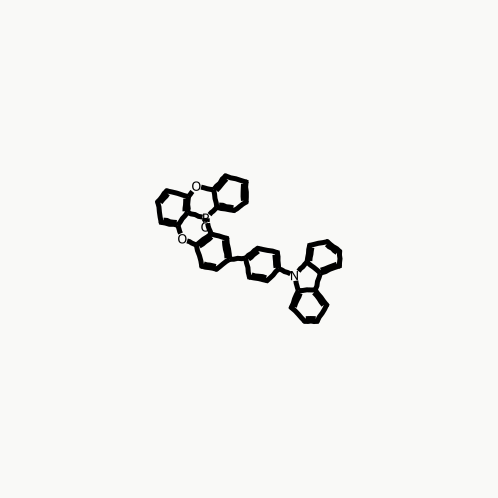 O=P12c3ccccc3Oc3cccc(c31)Oc1ccc(-c3ccc(-n4c5ccccc5c5ccccc54)cc3)cc12